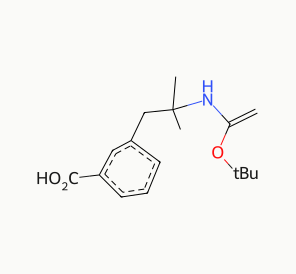 C=C(NC(C)(C)Cc1cccc(C(=O)O)c1)OC(C)(C)C